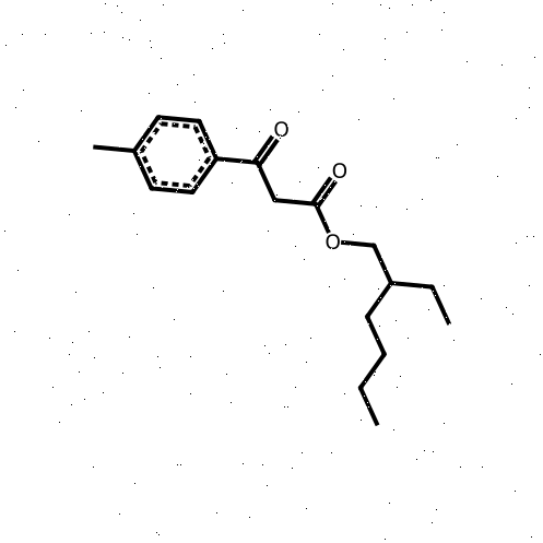 CCCCC(CC)COC(=O)CC(=O)c1ccc(C)cc1